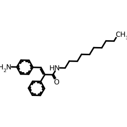 CCCCCCCCCCNC(=O)/C(=C/c1ccc(N)cc1)c1ccccc1